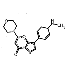 CNC1C=CC(c2csc3c(=O)cc(N4CCOCC4)oc23)=CC1